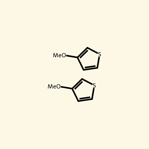 COc1ccsc1.COc1ccsc1